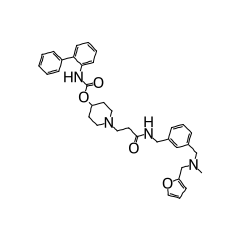 CN(Cc1cccc(CNC(=O)CCN2CCC(OC(=O)Nc3ccccc3-c3ccccc3)CC2)c1)Cc1ccco1